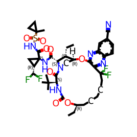 CC[C@@H]1CCCCCC(F)(F)c2nc3ccc(C#N)cc3nc2O[C@H]2CN(C(=O)[C@H](C(C)(C)C)NC(=O)O1)[C@H](C(=O)N[C@]1(C(=O)NS(=O)(=O)C3(C)CC3)C[C@H]1C(F)F)[C@@H]2CC